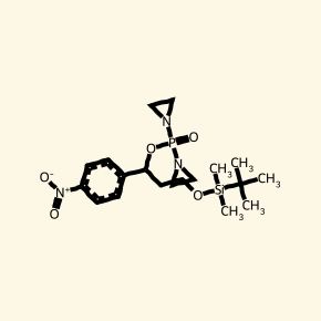 CC(C)(C)[Si](C)(C)OCCC(OP(=O)(N1CC1)N1CC1)c1ccc([N+](=O)[O-])cc1